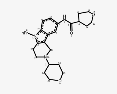 CCCn1c2c(c3cc(NC(=O)C4CCOCC4)ccc31)CN(C1CCOCC1)CC2